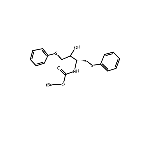 CC(C)(C)OC(=O)N[C@@H](CSc1ccccc1)C(O)CSc1ccccc1